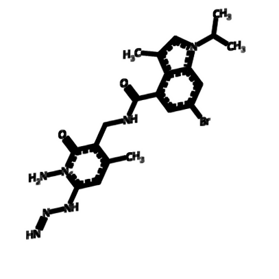 Cc1cc(NN=N)n(N)c(=O)c1CNC(=O)c1cc(Br)cc2c1c(C)cn2C(C)C